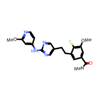 CNC(=O)c1cc(CCc2cnc(Nc3ccnc(OC)c3)nc2)c(F)c(OC)c1